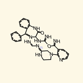 N=C/N=C1/CN(c2ncccc2C(=N)OC(=N)NC2N=C(c3ccccc3)c3ccccc3NC2=O)CCN1